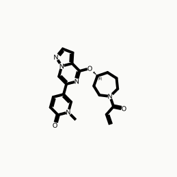 C=CC(=O)N1CCC[C@@H](Oc2nc(-c3ccc(=O)n(C)c3)cn3nccc23)CC1